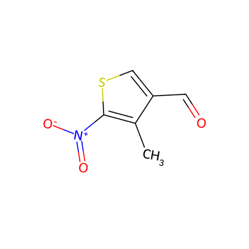 Cc1c(C=O)csc1[N+](=O)[O-]